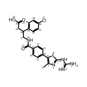 Cc1nc(NC(=N)N)sc1-c1ccc(C(=O)NCC(CC(=O)O)c2ccc(Cl)cc2)cc1